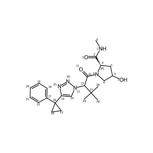 CNC(=O)[C@H]1CC(O)CN1C(=O)C(n1cc(C2(c3ccccc3)CC2)nn1)C(C)(C)C